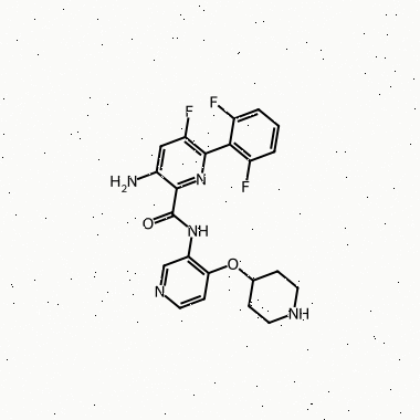 Nc1cc(F)c(-c2c(F)cccc2F)nc1C(=O)Nc1cnccc1OC1CCNCC1